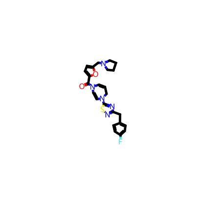 O=C(c1ccc(CN2CCCC2)o1)N1C=CCN(c2nc(Cc3ccc(F)cc3)ns2)C=C1